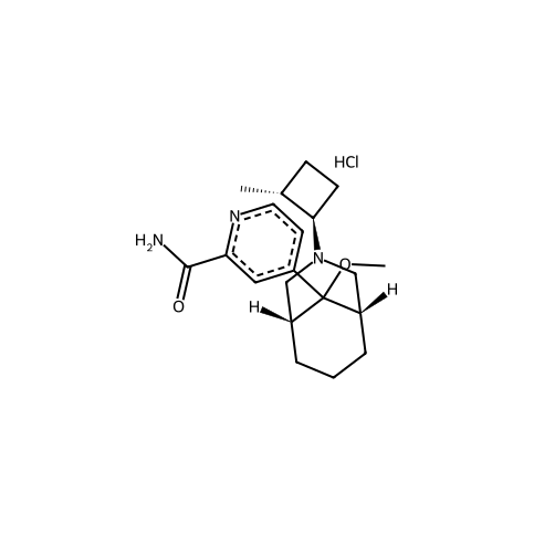 COC1(c2ccnc(C(N)=O)c2)[C@@H]2CCC[C@H]1CN([C@@H]1CC[C@H]1C)C2.Cl